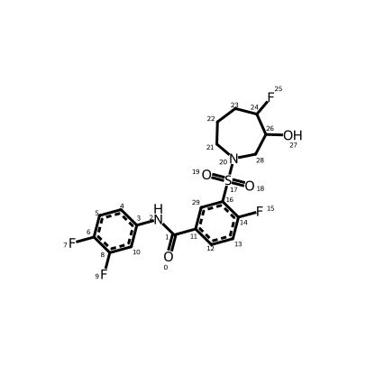 O=C(Nc1ccc(F)c(F)c1)c1ccc(F)c(S(=O)(=O)N2CCCC(F)C(O)C2)c1